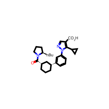 CCCC[C@@H]1CCCN1C(=O)[C@H]1CCC[C@@H](c2cccc(-n3ncc(C(=O)O)c3C3CC3)c2)C1